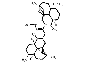 C[C@H]1[C@@H](/C(C[C@H]2O[C@@H]3C[C@]4(C)CC[C@H]5[C@H](C)CC[C@@H]([C@H]2C)[C@@]35OO4)=N\NC(C)(C)C)O[C@@H]2C[C@]3(C)CC[C@H]4[C@H](C)CC[C@@H]1[C@@]24OO3